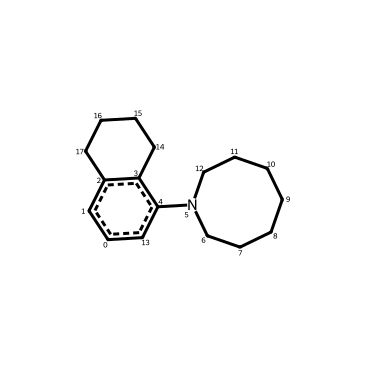 c1cc2c(c(N3CCCCCCC3)c1)CCCC2